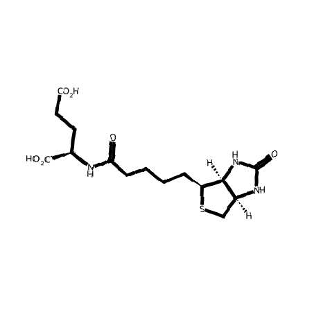 O=C(O)CC[C@@H](NC(=O)CCCC[C@@H]1SC[C@@H]2NC(=O)N[C@@H]21)C(=O)O